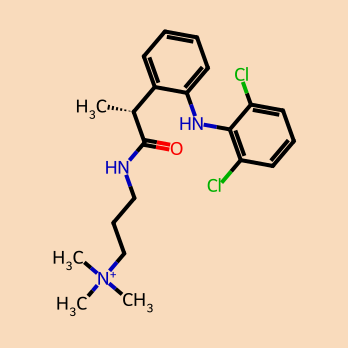 C[C@@H](C(=O)NCCC[N+](C)(C)C)c1ccccc1Nc1c(Cl)cccc1Cl